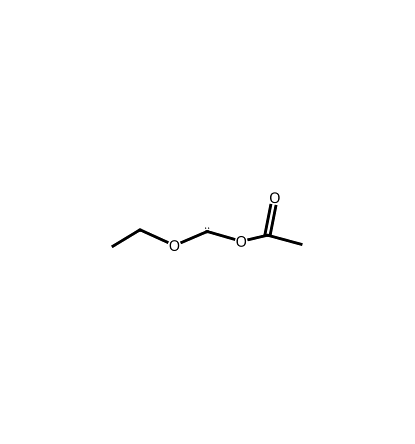 CCO[C]OC(C)=O